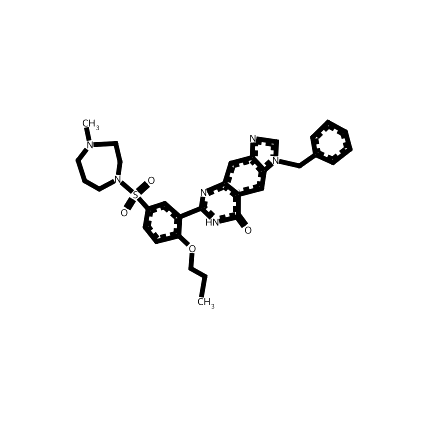 CCCOc1ccc(S(=O)(=O)N2CCCN(C)CC2)cc1-c1nc2cc3ncn(Cc4ccccc4)c3cc2c(=O)[nH]1